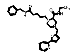 O=C(CCCCN1CCN(Cc2ccc(-c3ccccn3)o2)CC1C(=O)NCC(F)(F)F)NCc1ccccc1